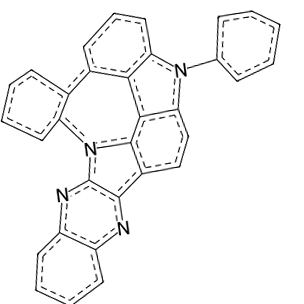 c1ccc(-n2c3cccc4c5ccccc5n5c6nc7ccccc7nc6c6ccc2c(c43)c65)cc1